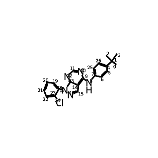 CC(C)(C)c1ccc(Nc2ncnc3c2cnn3-c2ccccc2Cl)cc1